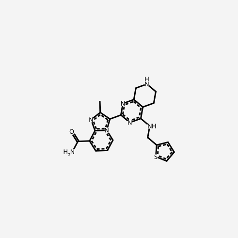 Cc1nc2c(C(N)=O)cccn2c1-c1nc2c(c(NCc3cccs3)n1)CCNC2